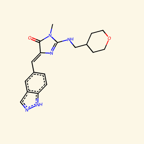 CN1C(=O)/C(=C/c2ccc3[nH]ncc3c2)N=C1NCC1CCOCC1